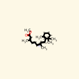 COC(=O)C=C(C)C=C/C=C(/C)C=CC1=C(C)CCCC1(C)C